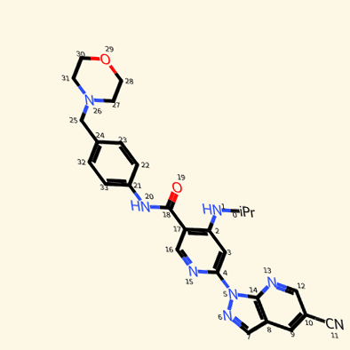 CC(C)Nc1cc(-n2ncc3cc(C#N)cnc32)ncc1C(=O)Nc1ccc(CN2CCOCC2)cc1